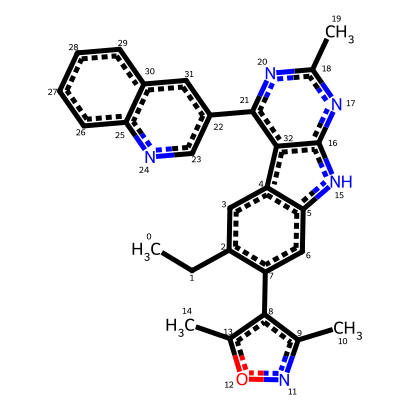 CCc1cc2c(cc1-c1c(C)noc1C)[nH]c1nc(C)nc(-c3cnc4ccccc4c3)c12